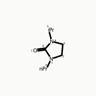 CCCN1CCN(C(C)C)C1=O